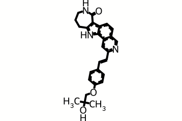 CC(C)(O)COc1ccc(C=Cc2cc3c(ccc4c5c([nH]c43)CCCNC5=O)cn2)cc1